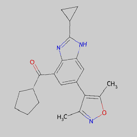 Cc1noc(C)c1-c1cc(C(=O)C2CCCC2)c2nc(C3CC3)[nH]c2c1